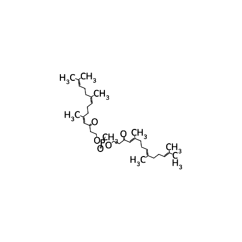 CC(C)=CCCC(C)=CCCC(C)=CC(=O)CCOP(C)(=O)OCCC(=O)C=C(C)CCC=C(C)CCC=C(C)C